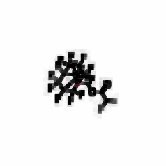 C=C(F)C(=O)OCC12C(F)(F)C3(F)C(F)(F)C(F)(C(F)(F)C(F)(C3(F)F)C1(F)F)C2(F)F